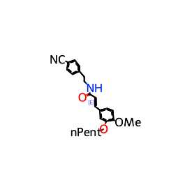 CCCCCOc1cc(/C=C/C(=O)NCCc2ccc(C#N)cc2)ccc1OC